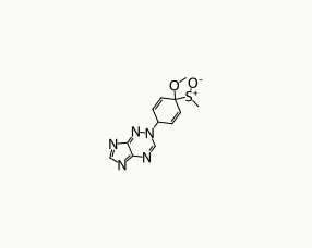 COC1([S+](C)[O-])C=CC(n2cnc3ncnc-3n2)C=C1